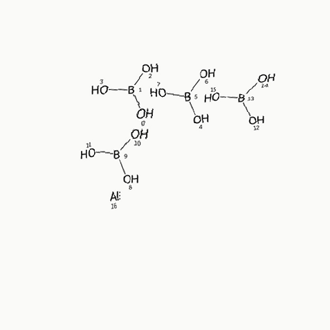 OB(O)O.OB(O)O.OB(O)O.OB(O)O.[Al]